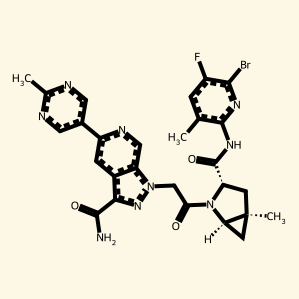 Cc1ncc(-c2cc3c(C(N)=O)nn(CC(=O)N4[C@H](C(=O)Nc5nc(Br)c(F)cc5C)C[C@@]5(C)C[C@@H]45)c3cn2)cn1